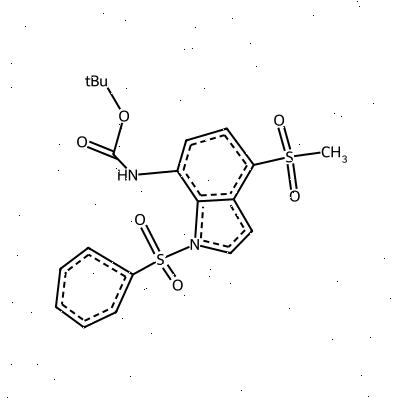 CC(C)(C)OC(=O)Nc1ccc(S(C)(=O)=O)c2ccn(S(=O)(=O)c3ccccc3)c12